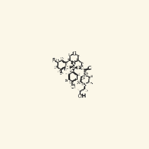 O=C(OCC1COCC(c2cc(F)cc(F)c2)N1S(=O)(=O)c1ccc(Cl)cc1)N1CCN(CCO)CC1